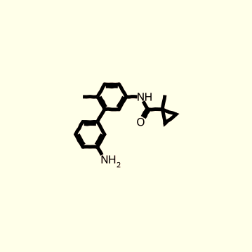 Cc1ccc(NC(=O)C2(C)CC2)cc1-c1cccc(N)c1